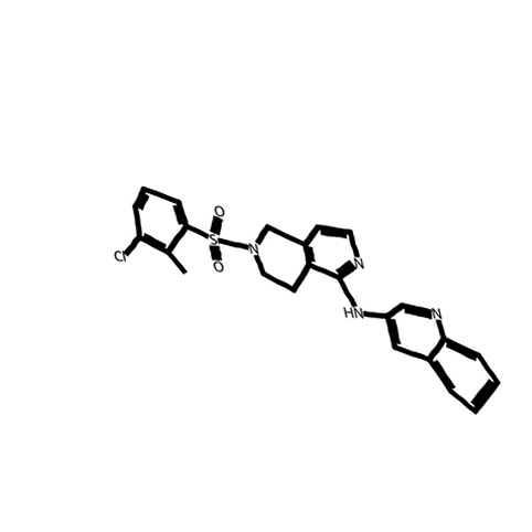 Cc1c(Cl)cccc1S(=O)(=O)N1CCc2c(ccnc2Nc2cnc3ccccc3c2)C1